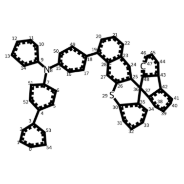 c1ccc(-c2ccc(N(c3ccccc3)c3ccc(-c4cccc5cc6c(cc45)Sc4ccccc4C64c5ccccc5-c5ccccc54)cc3)cc2)cc1